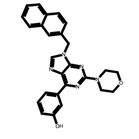 Oc1cccc(-c2nc(N3CCOCC3)nc3c2ncn3Cc2ccc3ccccc3c2)c1